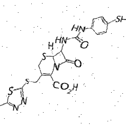 Cc1nnc(SCC2=C(C(=O)O)N3C(=O)C(NC(=O)Nc4ccc(S)cc4)[C@@H]3SC2)s1